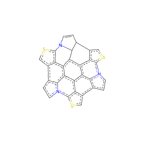 C1=CN2c3scc4c5ccn6c7scc8c9ccn%10c%11scc%12c%11c%11c(c(c34)c(c(c87)c%11c9%10)c56)C2C1%12